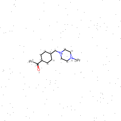 CC(C)C(=O)C1CCC(CN2CCN(C(C)C)CC2)CC1